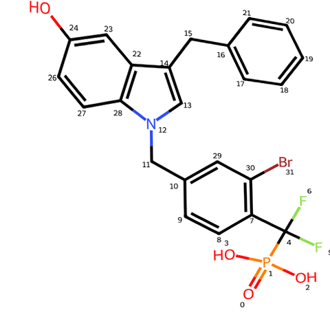 O=P(O)(O)C(F)(F)c1ccc(Cn2cc(Cc3ccccc3)c3cc(O)ccc32)cc1Br